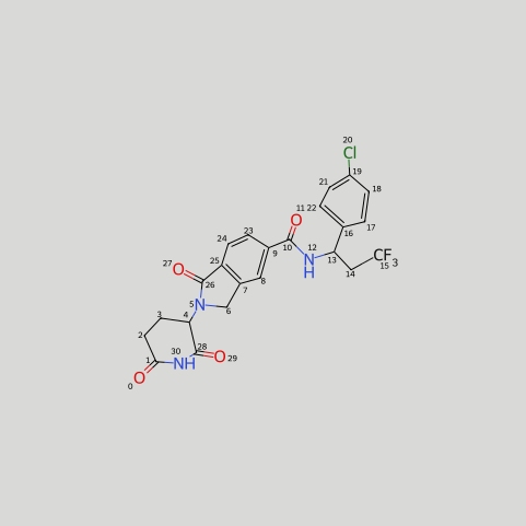 O=C1CCC(N2Cc3cc(C(=O)NC(CC(F)(F)F)c4ccc(Cl)cc4)ccc3C2=O)C(=O)N1